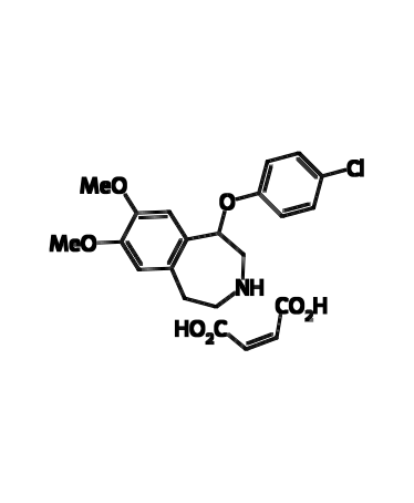 COc1cc2c(cc1OC)C(Oc1ccc(Cl)cc1)CNCC2.O=C(O)/C=C\C(=O)O